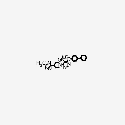 Cc1noc(C2CCN(c3ncnc(Oc4ccc(-c5cc[c]cc5)cc4)c3[N+](=O)[O-])CC2)n1